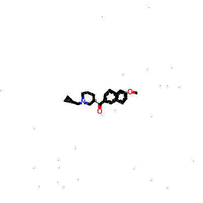 COc1ccc2cc(C(=O)[C@H]3CCCN(CC4CC4)C3)ccc2c1